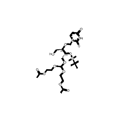 CC(=O)OCCOC(OCCOC(C)=O)OC[C@@H](O[Si](C)(C)C(C)(C)C)[C@@H](CO)OCn1ccc(=O)[nH]c1=O